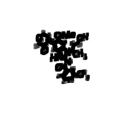 COc1cc2c(cc1N1CCOCC1=O)[nH]c(=NC(=O)c1cccc(C(F)(F)F)c1)n2C(C)CCO